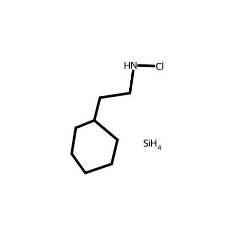 ClNCCC1CCCCC1.[SiH4]